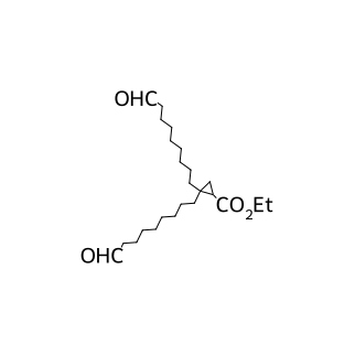 CCOC(=O)C1CC1(CCCCCCCCC=O)CCCCCCCCC=O